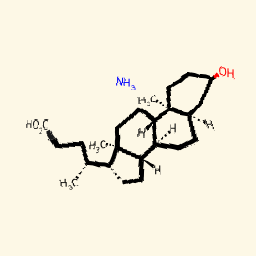 C[C@H](CCC(=O)O)[C@H]1CC[C@H]2[C@@H]3CC[C@@H]4C[C@H](O)CC[C@]4(C)[C@H]3CC[C@]12C.N